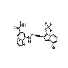 CNC(=O)c1cc(NCC#Cc2cc3c(Br)cccn3c2SC(F)(F)F)c2nccn2c1